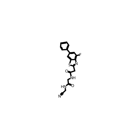 N#CCNC(=O)CNC(=O)Cc1nc2c(F)cc(-c3ccccc3)cc2s1